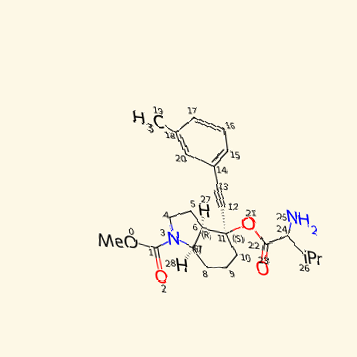 COC(=O)N1CC[C@@H]2[C@H]1CCC[C@]2(C#Cc1cccc(C)c1)OC(=O)C(N)C(C)C